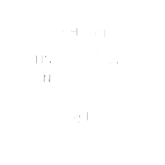 CC1=C(C(=O)O)C(c2ccccc2Cl)C(c2cccs2)=NN1